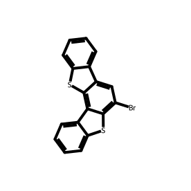 Brc1cc2c3ccccc3sc2c2c1sc1ccccc12